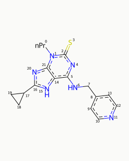 CCCn1c(=S)nc(NCc2ccncc2)c2[nH]c(C3CC3)nc21